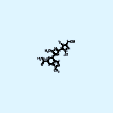 CCn1nc(CO)c(F)c1-c1nc(-c2nc(C(N)=O)cc3c2cnn3C)n(C)n1